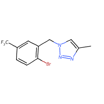 Cc1cn(Cc2cc(C(F)(F)F)ccc2Br)nn1